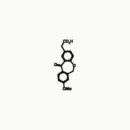 COc1ccc2c(c1)COc1ccc(CC(=O)O)cc1C2=O